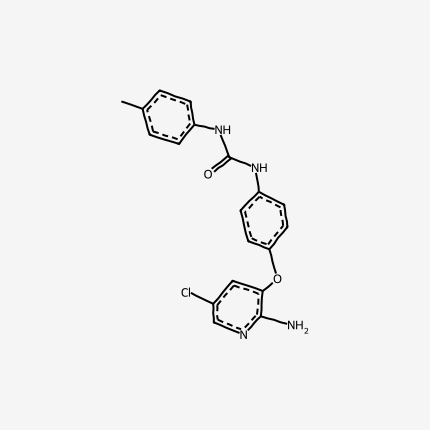 Cc1ccc(NC(=O)Nc2ccc(Oc3cc(Cl)cnc3N)cc2)cc1